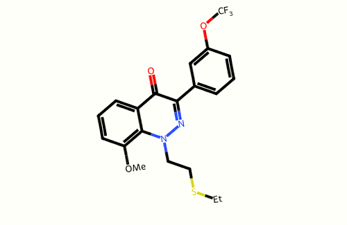 CCSCCn1nc(-c2cccc(OC(F)(F)F)c2)c(=O)c2cccc(OC)c21